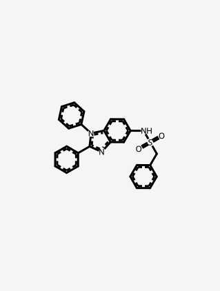 O=S(=O)(Cc1ccccc1)Nc1ccc2c(c1)nc(-c1ccccc1)n2-c1ccccc1